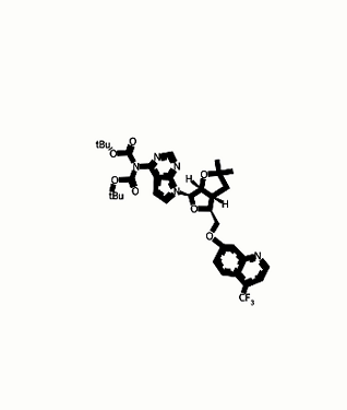 CC(C)(C)OC(=O)N(C(=O)OC(C)(C)C)c1ncnc2c1ccn2[C@@H]1O[C@H](COc2ccc3c(C(F)(F)F)ccnc3c2)[C@H]2CC(C)(C)O[C@H]21